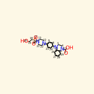 O=C(O)N1CCN(c2ccc(N3CCN(S(=O)(=O)CCO)CC3)cc2)c2ccccc21